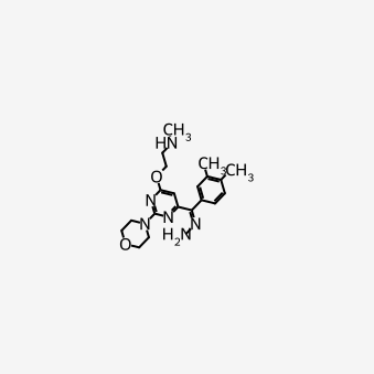 CNCCOc1cc(/C(=N\N)c2ccc(C)c(C)c2)nc(N2CCOCC2)n1